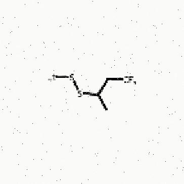 CCSSC(C)CC(F)(F)F